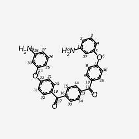 Nc1cccc(Oc2ccc(C(=O)c3ccc(C(=O)c4ccc(Oc5cccc(N)c5)cc4)cc3)cc2)c1